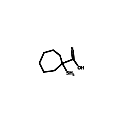 OC(=S)C1([SiH3])CCCCCC1